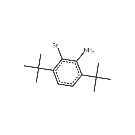 CC(C)(C)c1ccc(C(C)(C)C)c(Br)c1N